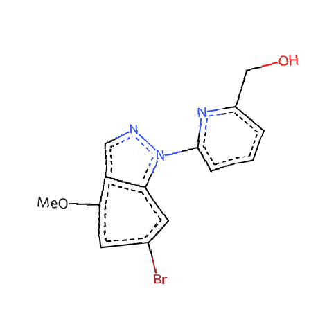 COc1cc(Br)cc2c1cnn2-c1cccc(CO)n1